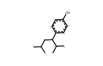 CC(I)CC(c1ccc(O)cc1)C(C)C